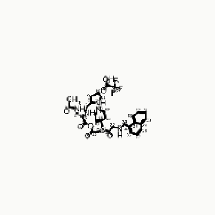 CC(=O)NC[C@H](NCC1CCCN1)C(=O)OC(=O)CN(C(=O)CNCc1cccc2ccccc12)c1ccncc1.O=C(O)C(F)(F)F